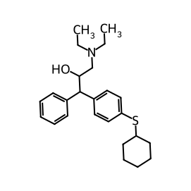 CCN(CC)CC(O)C(c1ccccc1)c1ccc(SC2CCCCC2)cc1